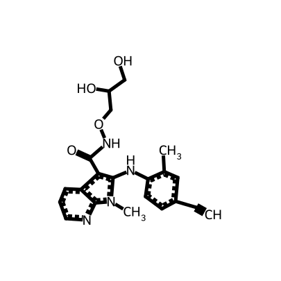 C#Cc1ccc(Nc2c(C(=O)NOCC(O)CO)c3cccnc3n2C)c(C)c1